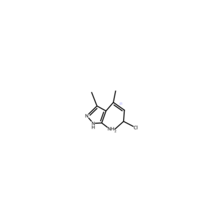 C/C(=C/C(C)Cl)c1c(C)n[nH]c1N